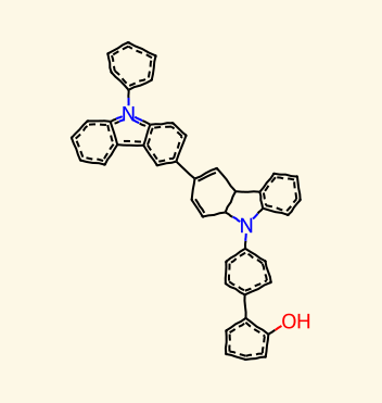 Oc1ccccc1-c1ccc(N2c3ccccc3C3C=C(c4ccc5c(c4)c4ccccc4n5-c4ccccc4)C=CC32)cc1